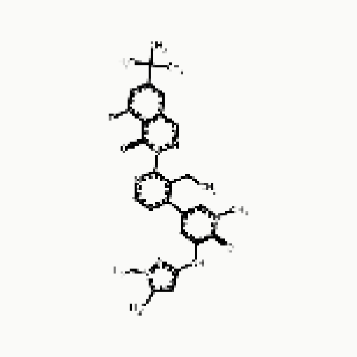 CCc1c(-c2cc(Nc3cc(C)n(C)n3)c(=O)n(C)c2)ccnc1-n1ncc2cc(C(C)(C)C)cc(F)c2c1=O